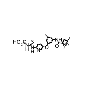 Cc1cc(NC(=O)c2cc(C)nn2C)cc(Oc2ccc(NC(=S)NC(=O)O)nc2)c1